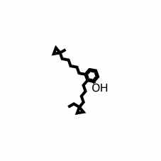 CCC1(CCCCc2c(O)cccc2CCCCCC2(C)CC2)CC1